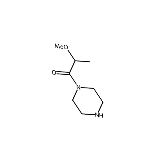 COC(C)C(=O)N1CCNCC1